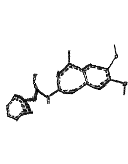 COc1cc2cc(NC(=O)c3ccccc3)nc(C)c2cc1OC